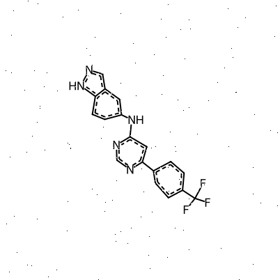 FC(F)(F)c1ccc(-c2cc(Nc3ccc4[nH]ncc4c3)ncn2)cc1